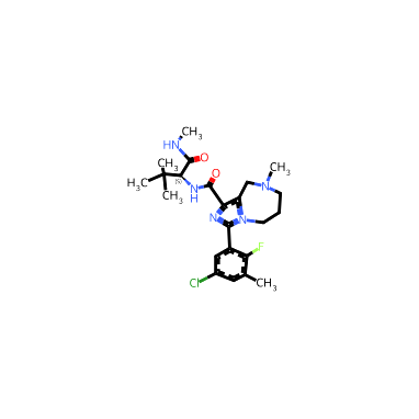 CNC(=O)[C@@H](NC(=O)c1nc(-c2cc(Cl)cc(C)c2F)n2c1CN(C)CCC2)C(C)(C)C